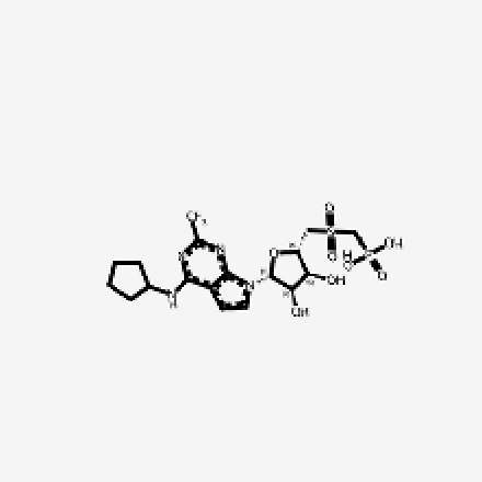 O=P(O)(O)CS(=O)(=O)C[C@H]1O[C@@H](n2ccc3c(NC4CCCC4)nc(C(F)(F)F)nc32)[C@H](O)[C@@H]1O